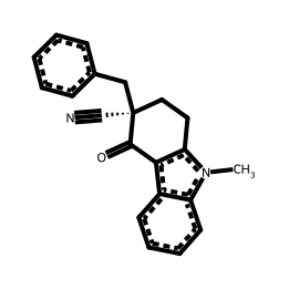 Cn1c2c(c3ccccc31)C(=O)[C@@](C#N)(Cc1ccccc1)CC2